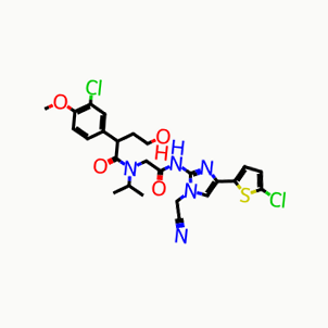 COc1ccc(C(CCO)C(=O)N(CC(=O)Nc2nc(-c3ccc(Cl)s3)cn2CC#N)C(C)C)cc1Cl